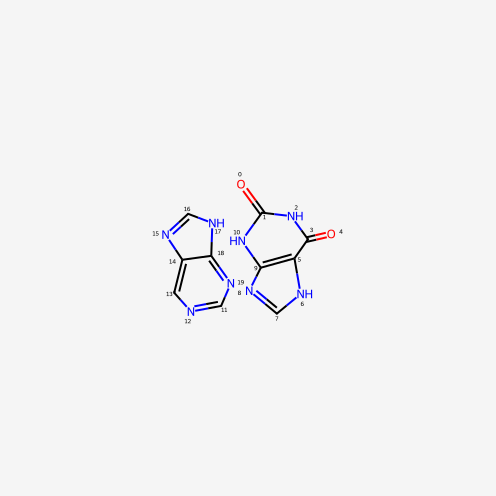 O=c1[nH]c(=O)c2[nH]cnc2[nH]1.c1ncc2nc[nH]c2n1